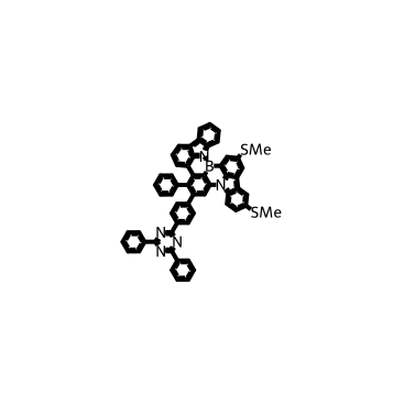 CSc1ccc2c(c1)c1cc(SC)cc3c1n2-c1cc(-c2ccc(-c4nc(-c5ccccc5)nc(-c5ccccc5)n4)cc2)c(-c2ccccc2)c2c1B3n1c3ccccc3c3cccc-2c31